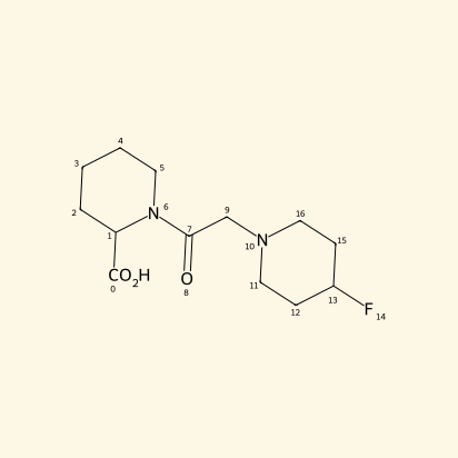 O=C(O)C1CCCCN1C(=O)CN1CCC(F)CC1